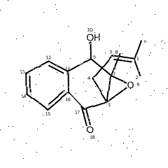 CC(C)=CCC12OC1(C)C(O)c1ccccc1C2=O